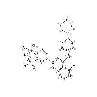 C[N+](C)(C)c1ccc(-c2cc3cc[nH]c(=O)c3c(Nc3ccc(N4CCOCC4)cc3)n2)cc1S(N)(=O)=O